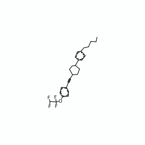 CCCCCc1ccc(C2CCC(C#Cc3ccc(OC(F)(F)C(F)F)cc3)CC2)cc1